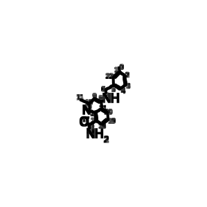 Cc1cccc(CNc2cc(C)nc3c(C(N)=O)cccc23)c1